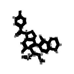 Cc1ccc(C(=O)N2CCc3c2cc(C)c([C@H](OC(C)(C)C)C(=O)O)c3-c2ccc3c(c2C)CCCO3)cn1